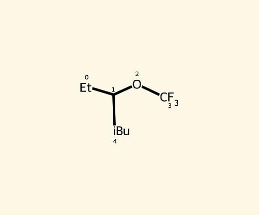 [CH2]CC(OC(F)(F)F)C(C)CC